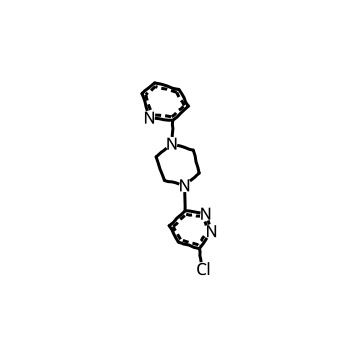 Clc1ccc(N2CCN(c3ccccn3)CC2)nn1